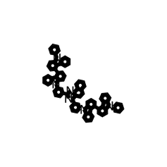 c1ccc(-n2c3ccccc3c3c(-c4cccc5c4c4ccccc4n5-c4cccc(-c5nc(-c6cccc(-n7c8ccccc8c8c(-c9cccc%10c9c9ccccc9n%10-c9ccccc9)cccc87)c6)c6ccc7ccccc7c6n5)c4)cccc32)cc1